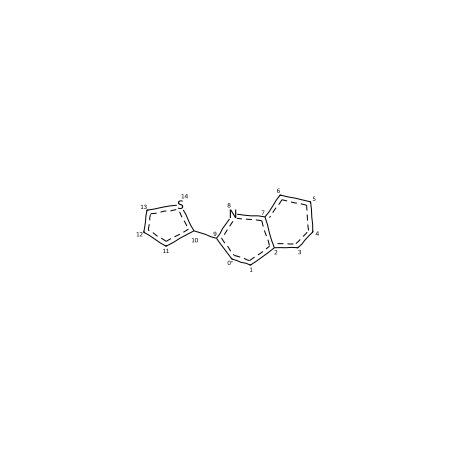 [c]1cc2ccccc2nc1-c1cccs1